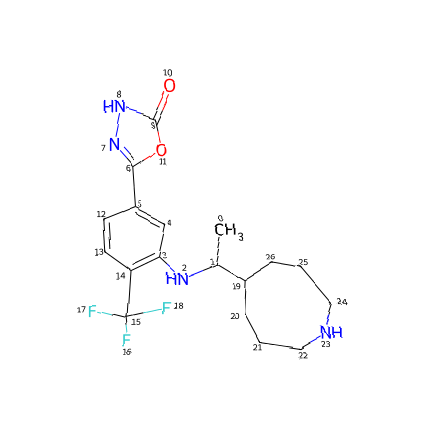 CC(Nc1cc(-c2n[nH]c(=O)o2)ccc1C(F)(F)F)C1CCCNCCC1